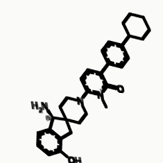 Cn1c(N2CCC3(CC2)Cc2c(O)cccc2[C@H]3N)ccc(-c2ccc(C3CCCCC3)cc2)c1=O